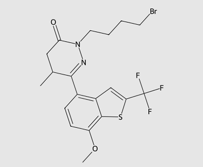 COc1ccc(C2=NN(CCCCBr)C(=O)CC2C)c2cc(C(F)(F)F)sc12